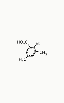 CCc1c(C)cc(C)cc1C(=O)O